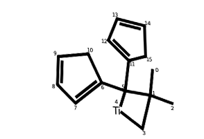 CC1(C)[CH2][Ti][C]1(C1=CC=CC1)C1=CC=CC1